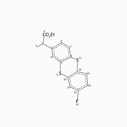 CCOC(=O)C(C)c1ccc2c(c1)Sc1cc(F)ccc1S2